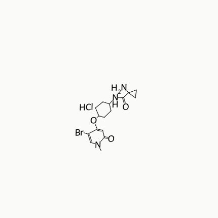 Cl.Cn1cc(Br)c(OC2CCC(NC(=O)C3(N)CC3)CC2)cc1=O